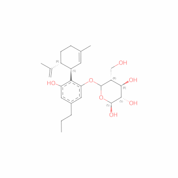 C=C(C)[C@@H]1CCC(C)=C[C@H]1c1c(O)cc(CCC)cc1OC1O[C@H](O)[C@@H](O)[C@H](O)[C@H]1CO